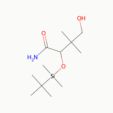 CC(C)(CO)C(O[Si](C)(C)C(C)(C)C)C(N)=O